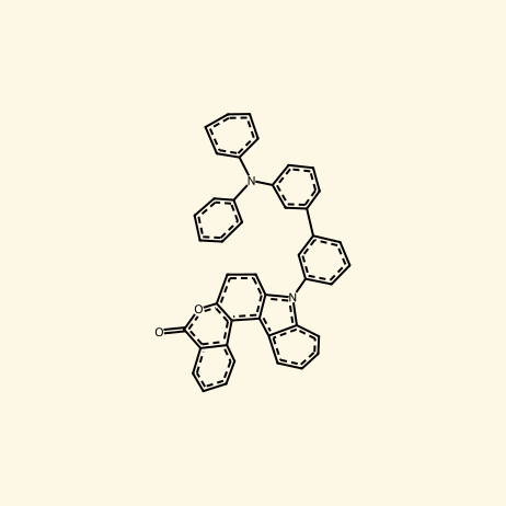 O=c1oc2ccc3c(c4ccccc4n3-c3cccc(-c4cccc(N(c5ccccc5)c5ccccc5)c4)c3)c2c2ccccc12